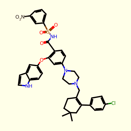 CC1(C)CCC(CN2CCN(c3ccc(C(=O)NS(=O)(=O)c4cccc([N+](=O)[O-])c4)c(Oc4ccc5[nH]ccc5c4)c3)CC2)=C(c2ccc(Cl)cc2)C1